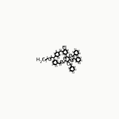 C=CCOCCc1ccc(Cc2cc([C@@H]3O[C@H](COCc4ccccc4)[C@@H](OCc4ccccc4)[C@H](OCc4ccccc4)[C@H]3OCc3ccccc3)ccc2Cl)cc1